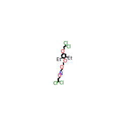 CCc1cc(OCC=C(Cl)Cl)cc(CC)c1OCCOCC=NOCC=C(Cl)Cl